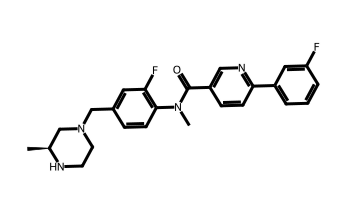 C[C@H]1CN(Cc2ccc(N(C)C(=O)c3ccc(-c4cccc(F)c4)nc3)c(F)c2)CCN1